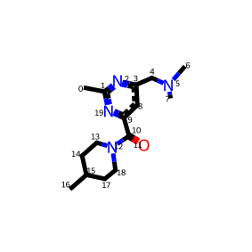 Cc1nc(CN(C)C)cc(C(=O)N2CCC(C)CC2)n1